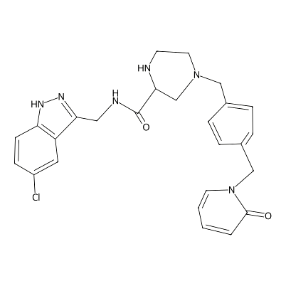 O=C(NCc1n[nH]c2ccc(Cl)cc12)C1CN(Cc2ccc(Cn3ccccc3=O)cc2)CCN1